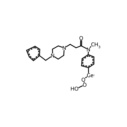 CN(C(=O)CCN1CCN(Cc2ccccc2)CC1)c1cc[c]([Ge][O]OO)cc1